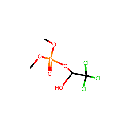 COP(=O)(OC)OC(O)C(Cl)(Cl)Cl